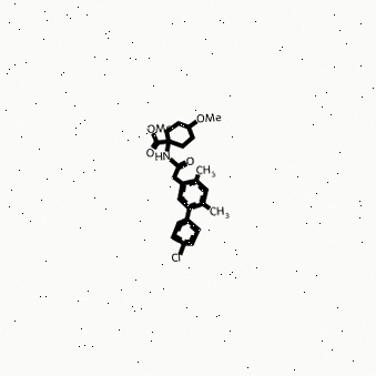 COC(=O)C1(NC(=O)Cc2cc(-c3ccc(Cl)cc3)c(C)cc2C)CCC(OC)CC1